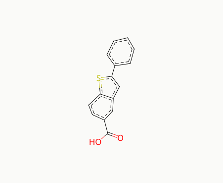 O=C(O)c1ccc2sc(-c3ccccc3)cc2c1